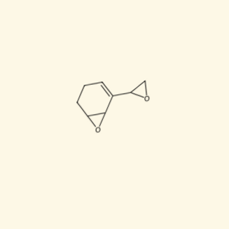 C1=C(C2CO2)C2OC2CC1